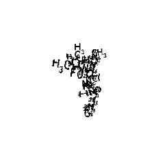 Cc1c(F)c(C)c(F)c(C(=O)Nc2cc(-n3cc(C(=O)NCCCN4CCOCC4)nn3)c(Cl)cc2N2CCN(C)CC2)c1F